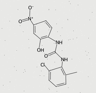 Cc1cccc(Cl)c1NC(=O)Nc1ccc([N+](=O)[O-])cc1O